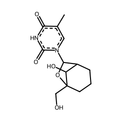 Cc1cn(C2OC3(CO)CCCC2C3O)c(=O)[nH]c1=O